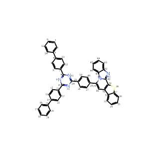 c1ccc(-c2ccc(-c3nc(-c4ccc(-c5ccccc5)cc4)nc(-c4ccc(-c5cc6c7ccccc7sc6c6nc7ccccc7n56)cc4)n3)cc2)cc1